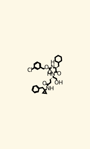 O=C(CC[C@@H](CO)NC(=O)[C@H](CC1CCCCC1)NC(=O)OCc1cccc(Cl)c1)NC1(Cc2ccccc2)CC1